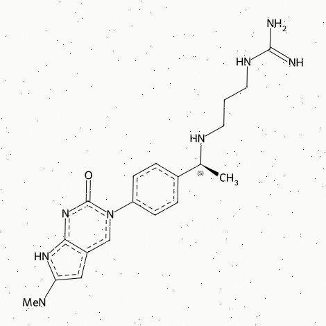 CNc1cc2cn(-c3ccc([C@H](C)NCCCNC(=N)N)cc3)c(=O)nc2[nH]1